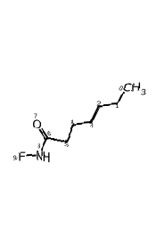 CCCCCCC(=O)NF